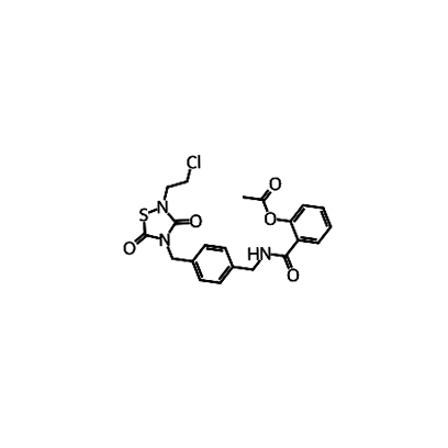 CC(=O)Oc1ccccc1C(=O)NCc1ccc(Cn2c(=O)sn(CCCl)c2=O)cc1